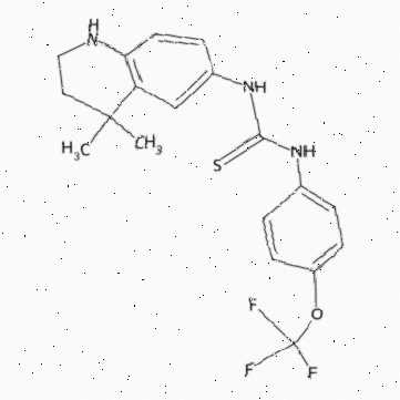 CC1(C)CCNc2ccc(NC(=S)Nc3ccc(OC(F)(F)F)cc3)cc21